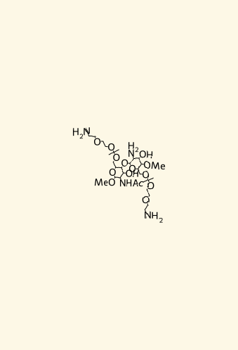 COC1OC(COC(C)(C)OCCOCCN)C(OC2OC(COC(C)(C)OCCOCCN)C(OC)C(O)C2N)C(O)C1NC(C)=O